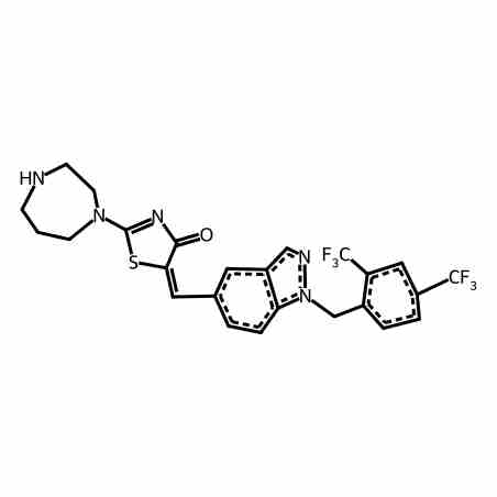 O=C1N=C(N2CCCNCC2)SC1=Cc1ccc2c(cnn2Cc2ccc(C(F)(F)F)cc2C(F)(F)F)c1